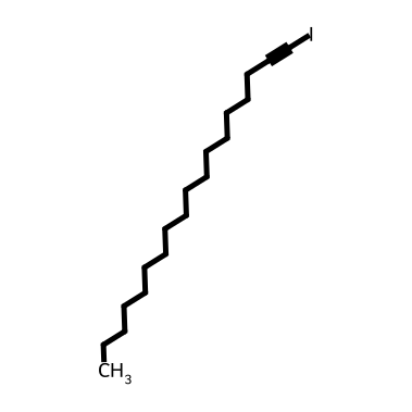 CCCCCCCCCCCCCCCCC#CI